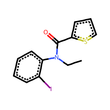 CCN(C(=O)c1cccs1)c1ccccc1I